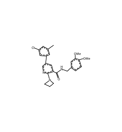 COc1ccc(CNC(=O)c2cc(-c3cc(C)cc(Cl)c3)cnc2N2CCC2)cc1OC